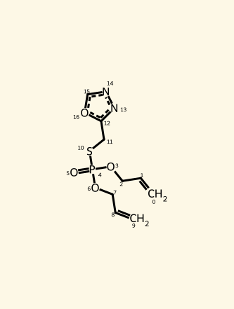 C=CCOP(=O)(OCC=C)SCc1nnco1